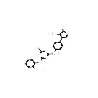 N#Cc1c(-c2ccc(Nc3nc(Cl)nc(Nc4ccccc4S(=O)(=O)O)n3)cc2)csc1N